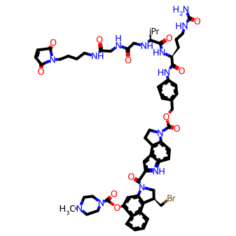 CC(C)[C@H](NCC(=O)NCC(=O)NCCCCN1C(=O)C=CC1=O)C(=O)N[C@@H](CCCNC(N)=O)C(=O)Nc1ccc(COC(=O)N2CCc3c2ccc2[nH]c(C(=O)N4C[C@@H](CBr)c5c4cc(OC(=O)N4CCN(C)CC4)c4ccccc54)cc32)cc1